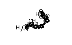 Cc1nc(N2CCN(Cc3ccc(COc4cccc5c4CN([C@H]4CCC(=O)NC4=O)C5=O)cc3)CC2)cc(-n2cnc(C)n2)n1